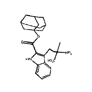 CC(N)(Cc1c(C(=O)OC23CC4CC(CC(C4)C2)C3)[nH]c2ccccc12)C(=O)O